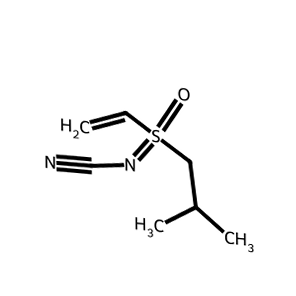 C=CS(=O)(CC(C)C)=NC#N